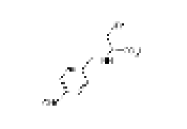 CC(C)C[C@@H](NCc1ccc(C=O)cc1)C(=O)O